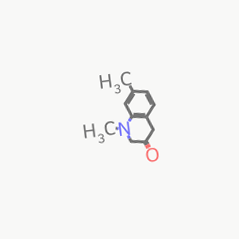 Cc1ccc2c(c1)N(C)CC(=O)C2